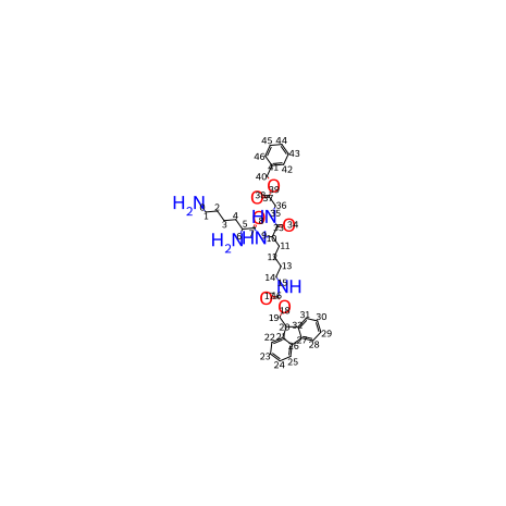 NCCCCC(N)C(=O)NC(CCCCNC(=O)OCC1c2ccccc2-c2ccccc21)C(=O)NCC(=O)OCc1ccccc1